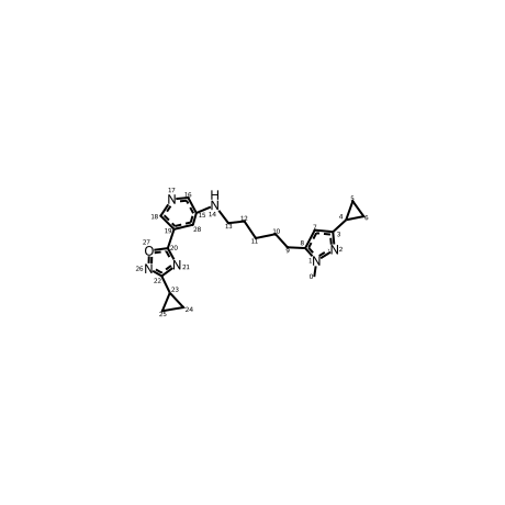 Cn1nc(C2CC2)cc1CCCCCNc1cncc(-c2nc(C3CC3)no2)c1